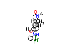 C[C@]12CC[C@H]3[C@@H](CC=C4N(C5CC5)C(=O)CC[C@@]43C)[C@@H]1CC[C@@H]2C(=O)Nc1ccccc1C(F)(F)F